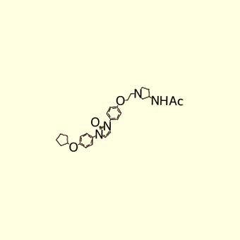 CC(=O)NC1CCN(CCOc2ccc(-n3ccn(-c4ccc(OC5CCCC5)cc4)c3=O)cc2)C1